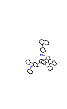 c1ccc(-n2c3ccccc3c3cc(-c4ccc(-c5c(Nc6ccc(-c7cccc8ccccc78)cc6)ccc6c5C5(c7ccccc7-c7ccccc75)c5ccccc5-6)cc4)ccc32)cc1